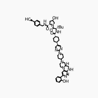 C#Cc1ccc(CNC(=O)[C@@H]2C[C@@H](O)CN2C(=O)[C@@H](NC(=O)[C@H]2CC[C@H](c3cnc(N4CCC(N5CCN6c7cc(-c8ccccc8O)nnc7NC[C@H]6C5)CC4)nc3)CC2)C(C)(C)C)cc1